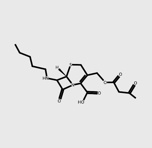 CCCCCNC1C(=O)N2C(C(=O)O)=C(COC(=O)CC(C)=O)CS[C@@H]12